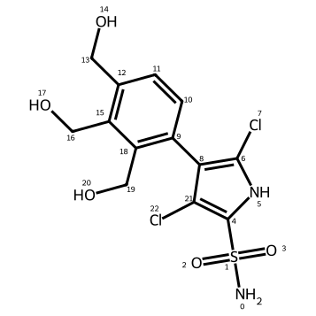 NS(=O)(=O)c1[nH]c(Cl)c(-c2ccc(CO)c(CO)c2CO)c1Cl